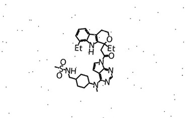 CCc1cccc2c3c([nH]c12)C(CC)(CC(=O)n1ccc2c(N(C)C4CCC(CNS(C)(=O)=O)CC4)ncnc21)OCC3